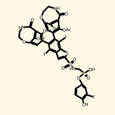 CC(=O)Oc1c2cc(-c3c(-c4cc5c(OC(C)=O)c(c4OC(C)=O)C(=O)NCCO5)c(F)c4sc(S(=O)(=O)NCP(=O)(O)Oc5ccc(C#N)c(F)c5)cc4c3F)c(OC(C)=O)c1C(=O)NCCO2